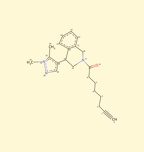 C#CCCCCCC(=O)N1Cc2ccccc2C(c2cnn(C)c2C)C1